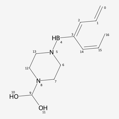 C=C/C=C(BN1CCN(C(O)O)CC1)\C=C/C